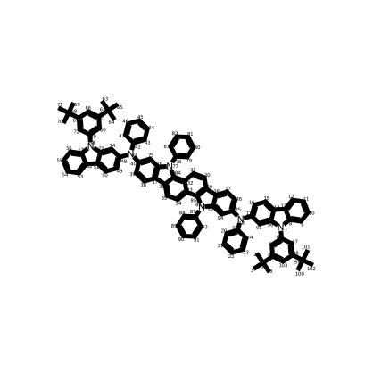 CC(C)(C)c1cc(-n2c3ccccc3c3ccc(N(c4ccccc4)c4ccc5c6ccc7c(ccc8c9ccc(N(c%10ccccc%10)c%10ccc%11c%12ccccc%12n(-c%12cc(C(C)(C)C)cc(C(C)(C)C)c%12)c%11c%10)cc9n(-c9ccccc9)c87)c6n(-c6ccccc6)c5c4)cc32)cc(C(C)(C)C)c1